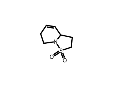 O=S1(=O)CCC2C=CCCN21